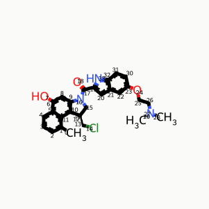 Cc1cccc2c(O)cc3c(c12)[C@H](CCl)CN3C(=O)c1cc2cc(OCCN(C)C)ccc2[nH]1